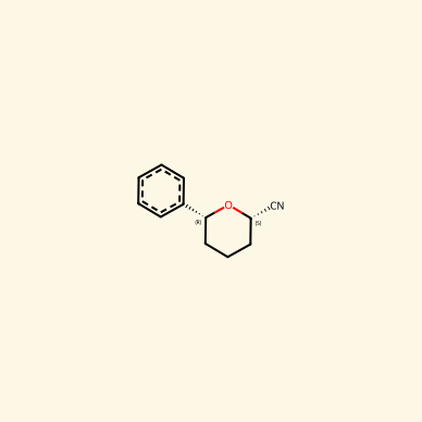 N#C[C@@H]1CCC[C@H](c2ccccc2)O1